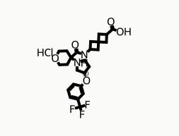 Cl.O=C(O)C1CC2(CC(NC(=O)C3(N4CC[C@@H](Oc5cccc(C(F)(F)F)c5)C4)CCOCC3)C2)C1